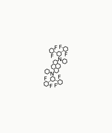 Fc1cccc(F)c1-c1cc(-c2c(F)cccc2F)cc(N(c2ccccc2)c2ccc3ccc4c(N(c5ccccc5)c5cc(-c6c(F)cccc6F)cc(-c6c(F)cccc6F)c5)ccc5ccc2c3c54)c1